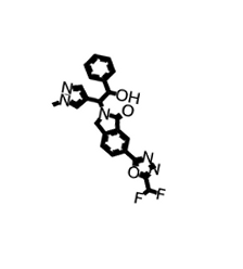 Cn1cc(C(C(O)c2ccccc2)N2Cc3ccc(-c4nnc(C(F)F)o4)cc3C2=O)cn1